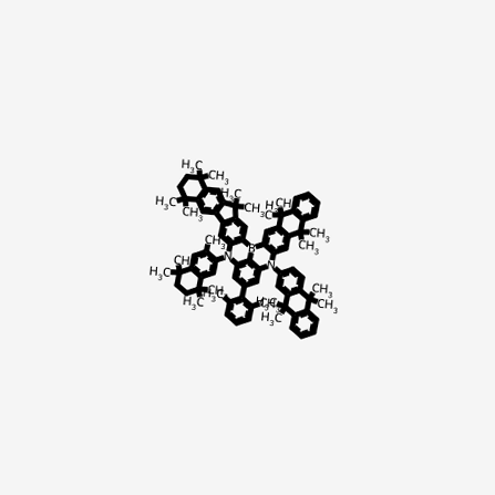 Cc1cc2c(cc1N1c3cc4c(cc3B3c5cc6c(cc5N(c5ccc7c(c5)C(C)(C)c5ccccc5C7(C)C)c5cc(-c7c(C)cccc7C)cc1c53)C(C)(C)c1ccccc1C6(C)C)C(C)(C)c1cc3c(cc1-4)C(C)(C)CCC3(C)C)C(C)(C)CCC2(C)C